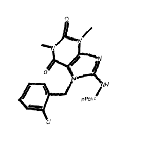 CCCCCNc1nc2c(c(=O)n(C)c(=O)n2C)n1Cc1ccccc1Cl